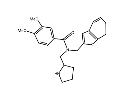 COc1ccc(C(=O)N(Cc2cc3c(s2)CCC=C3)CC2CCCN2)cc1OC